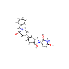 O=C1CCC(N2Cc3cc(C4CCN(Cc5ccccc5)C(=O)C4)ccc3C2=O)C(=O)N1